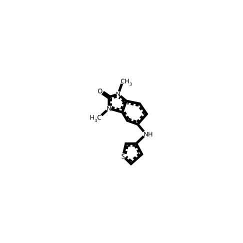 Cn1c(=O)n(C)c2cc(Nc3ccsc3)ccc21